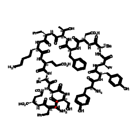 CC[C@H](C)[C@H](NC(=O)[C@H](CCC(=O)O)NC(=O)[C@H](CCCCN)NC(=O)[C@H](CC(C)C)NC(=O)[C@@H](NC(=O)[C@H](Cc1ccccc1)NC(=O)[C@H](CC(=O)O)NC(=O)[C@@H](NC(=O)[C@@H](NC(=O)[C@H](Cc1ccc(O)cc1)NC(=O)[C@@H](N)Cc1ccc(O)cc1)C(C)C)[C@@H](C)CC)[C@@H](C)O)C(=O)N[C@@H](CCC(N)=O)C(=O)N[C@@H](CO)C(=O)N[C@@H](CC(C)C)C(=O)N[C@@H](CCC(=O)O)C(=O)O